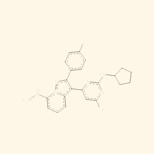 Cc1cc(-c2c(-c3ccc(F)cc3)nn3c(NN)cccc23)nc(NC2CCCC2)n1